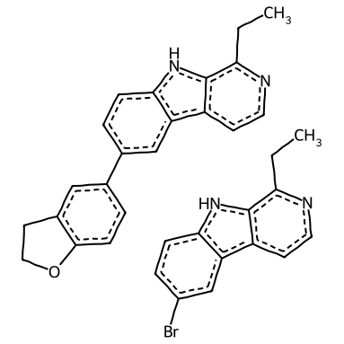 CCc1nccc2c1[nH]c1ccc(-c3ccc4c(c3)CCO4)cc12.CCc1nccc2c1[nH]c1ccc(Br)cc12